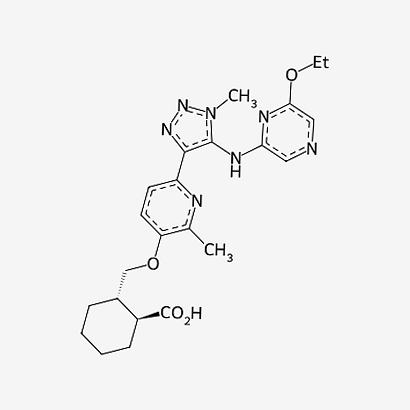 CCOc1cncc(Nc2c(-c3ccc(OC[C@H]4CCCC[C@@H]4C(=O)O)c(C)n3)nnn2C)n1